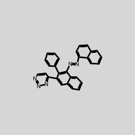 c1ccc(-c2c(-c3ccnnn3)cc3ccccc3c2N=Nc2cccc3ccccc23)cc1